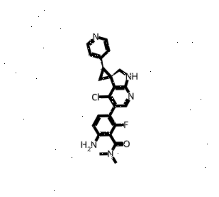 CN(C)C(=O)c1c(N)ccc(-c2cnc3c(c2Cl)[C@]2(CN3)C[C@H]2c2ccncc2)c1F